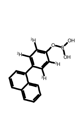 [2H]c1c([2H])c(-c2cccc3ccccc23)c([2H])c([2H])c1OB(O)O